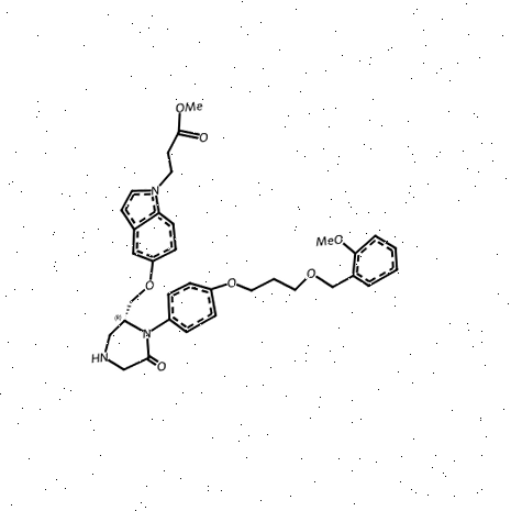 COC(=O)CCn1ccc2cc(OC[C@H]3CNCC(=O)N3c3ccc(OCCCOCc4ccccc4OC)cc3)ccc21